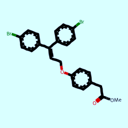 COC(=O)Cc1ccc(OCC=C(c2ccc(Br)cc2)c2ccc(Br)cc2)cc1